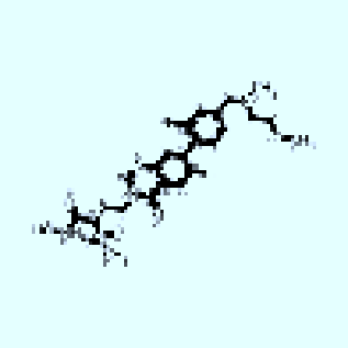 COCCN(C)Cc1ccc(-c2cc3ncn(CC[C@H](C(=O)NO)S(C)(=O)=O)c(=O)c3cc2F)c(F)c1